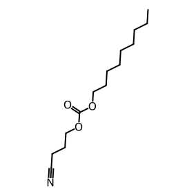 CCCCCCCCCOC(=O)OCCCC#N